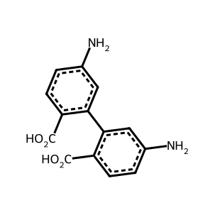 Nc1ccc(C(=O)O)c(-c2cc(N)ccc2C(=O)O)c1